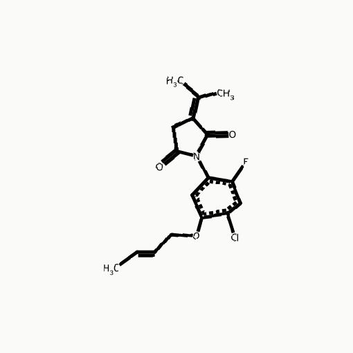 C/C=C/COc1cc(N2C(=O)CC(=C(C)C)C2=O)c(F)cc1Cl